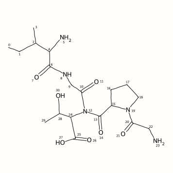 CCC(C)C(N)C(=O)NCC(=O)N(C(=O)C1CCCN1C(=O)CN)C(C(=O)O)C(C)O